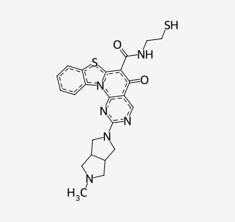 CN1CC2CN(c3ncc4c(=O)c(C(=O)NCCS)c5sc6ccccc6n5c4n3)CC2C1